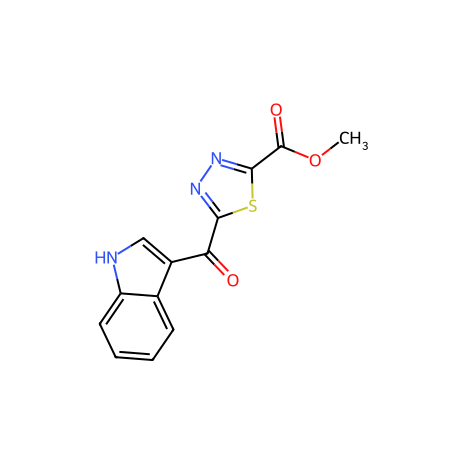 COC(=O)c1nnc(C(=O)c2c[nH]c3ccccc23)s1